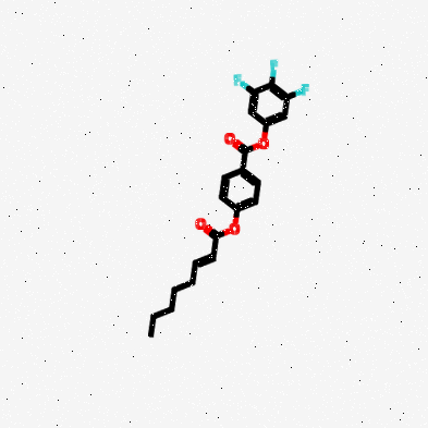 CCCCC/C=C/C(=O)Oc1ccc(C(=O)Oc2cc(F)c(F)c(F)c2)cc1